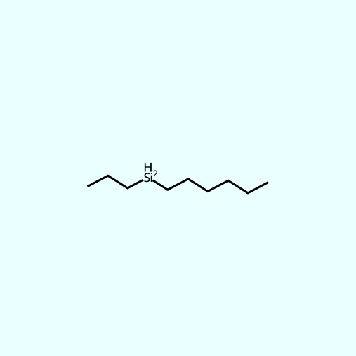 CCCCCC[SiH2]CCC